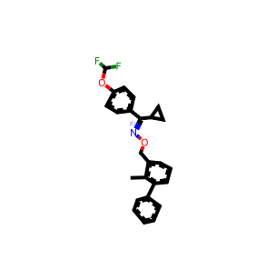 Cc1c(CO/N=C(/c2ccc(OC(F)F)cc2)C2CC2)cccc1-c1ccccc1